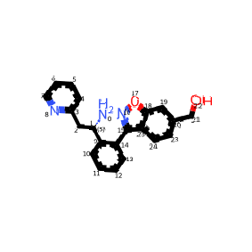 N[C@@H](Cc1ccccn1)c1ccccc1-c1noc2cc(CO)ccc12